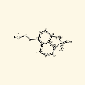 O=S1(=O)Nc2ccc(CCO)c3cccc1c23